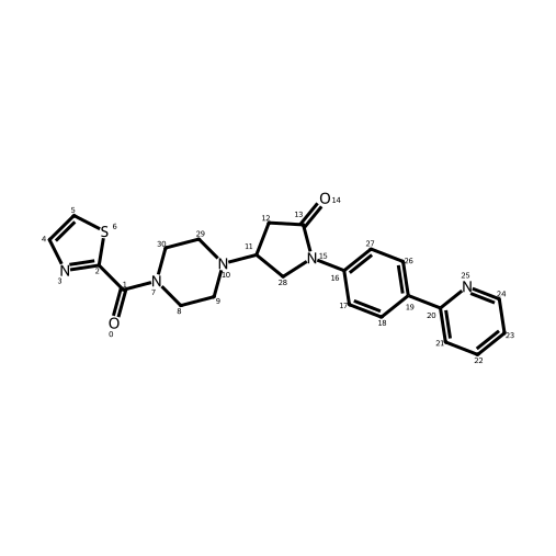 O=C(c1nccs1)N1CCN(C2CC(=O)N(c3ccc(-c4ccccn4)cc3)C2)CC1